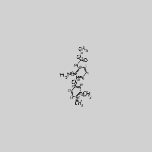 CCOC(=O)Cc1cccc(Oc2ccc(C)c(C)c2)c1N